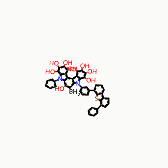 Bc1c(O)c2c(c3c(O)c(O)c(O)c(O)c3n2-c2ccccc2)c2c3c(O)c(O)c(O)c(O)c3n(-c3cccc(-c4cccc5c4sc4c(-c6ccccc6)cccc45)c3)c12